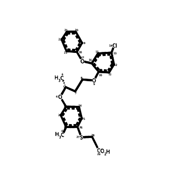 Cc1cc(O[C@H](C)CCOc2ccc(Cl)cc2Oc2ccccc2)ccc1SCC(=O)O